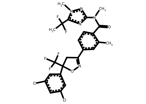 Cc1cc(C2=NOC(c3cc(Cl)cc(Cl)c3)(C(F)(F)F)C2)ccc1C(=O)N(C)c1nc(C(C)(F)F)n(C)n1